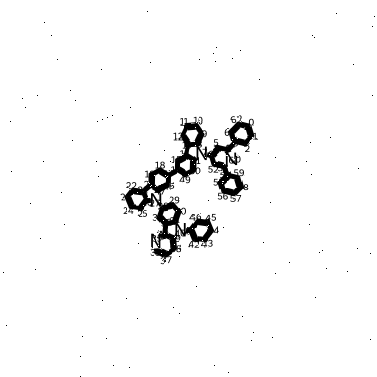 c1ccc(-c2cc(-n3c4ccccc4c4cc(-c5ccc6c7ccccc7n(-c7ccc8c(c7)c7ncccc7n8-c7ccccc7)c6c5)ccc43)cc(-c3ccccc3)n2)cc1